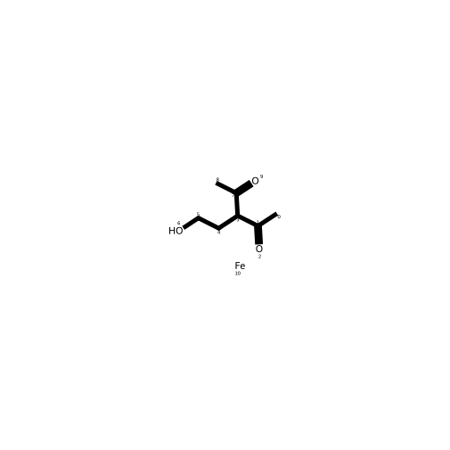 CC(=O)C(CCO)C(C)=O.[Fe]